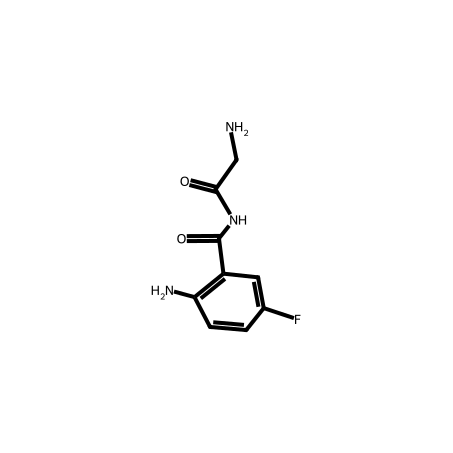 NCC(=O)NC(=O)c1cc(F)ccc1N